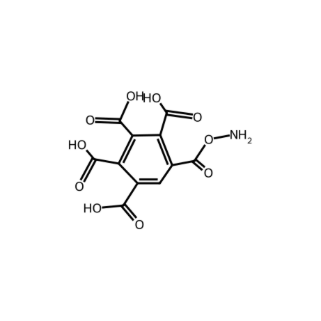 NOC(=O)c1cc(C(=O)O)c(C(=O)O)c(C(=O)O)c1C(=O)O